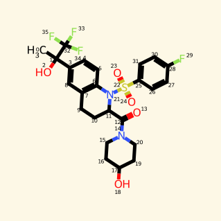 CC(O)(c1ccc2c(c1)CCC(C(=O)N1CCC(O)CC1)N2S(=O)(=O)c1ccc(F)cc1)C(F)(F)F